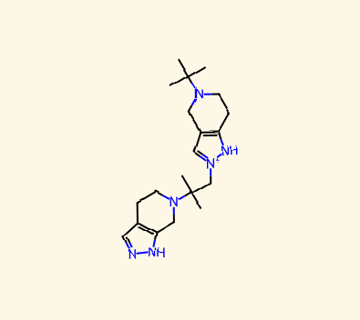 CC(C)(C)N1CCc2[nH][n+](CC(C)(C)N3CCc4cn[nH]c4C3)cc2C1